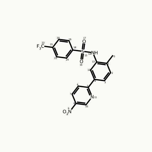 Cc1ccc(-c2ccc([N+](=O)[O-])cn2)cc1NS(=O)(=O)c1ccc(C(F)(F)F)cc1